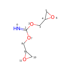 N=C(OCC1CO1)OCC1CO1